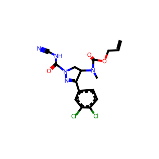 C=CCOC(=O)N(C)C1CN(C(=O)NC#N)N=C1c1ccc(Cl)c(Cl)c1